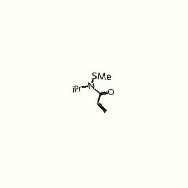 C=CC(=O)N(SC)C(C)C